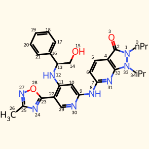 CCCn1c(=O)c2ccc(Nc3cc(N[C@H](CO)c4ccccc4)c(-c4nc(C)no4)cn3)nc2n1C(C)C